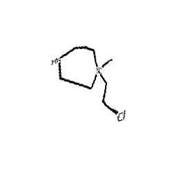 C[N+]1(CCCl)CCNCC1